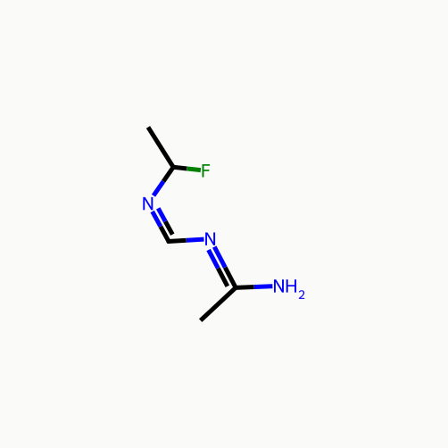 C/C(N)=N\C=N/C(C)F